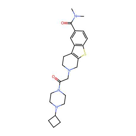 CN(C)C(=O)c1ccc2sc3c(c2c1)CCN(CC(=O)N1CCN(C2CCC2)CC1)C3